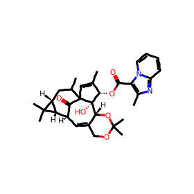 CC1=CC23C(=O)[C@@H](C=C4COC(C)(C)O[C@H]4[C@]2(O)[C@H]1OC(=O)c1c(C)nc2ccccn12)[C@H]1[C@@H](CC3C)C1(C)C